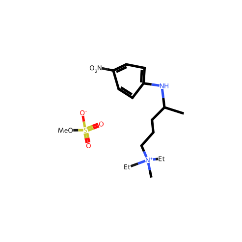 CC[N+](C)(CC)CCCC(C)Nc1ccc([N+](=O)[O-])cc1.COS(=O)(=O)[O-]